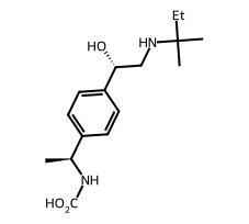 CCC(C)(C)NC[C@@H](O)c1ccc([C@H](C)NC(=O)O)cc1